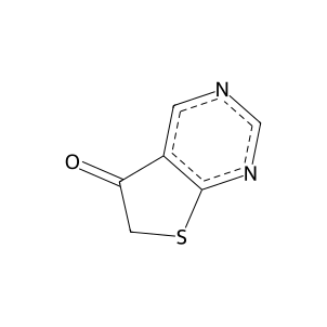 O=C1CSc2ncncc21